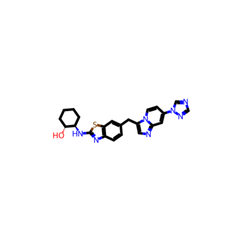 O[C@@H]1CCCC[C@H]1Nc1nc2ccc(Cc3cnc4cc(-n5cncn5)ccn34)cc2s1